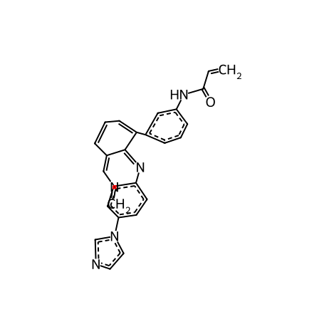 C=CC(=O)Nc1cccc(C2=CC=CC(=C/N=C)/C2=N\c2ccc(-n3ccnc3)cc2)c1